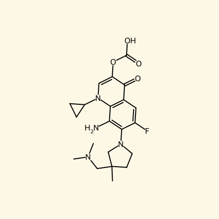 CN(C)CC1(C)CCN(c2c(F)cc3c(=O)c(OC(=O)O)cn(C4CC4)c3c2N)C1